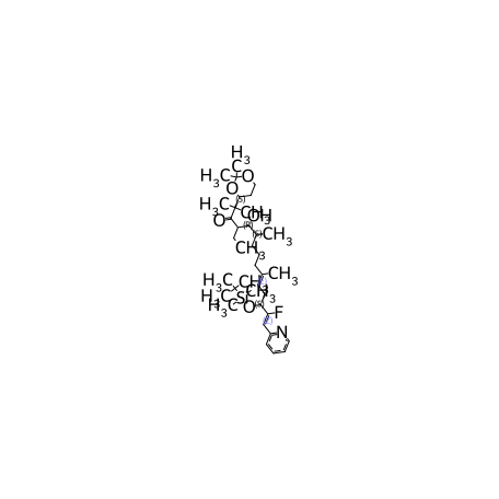 CCC(C(=O)C(C)(C)[C@@H]1CCOC(C)(C)O1)[C@H](O)[C@@H](C)CCC/C(C)=C/C[C@H](O[Si](C)(C)C(C)(C)C)/C(F)=C/c1ccccn1